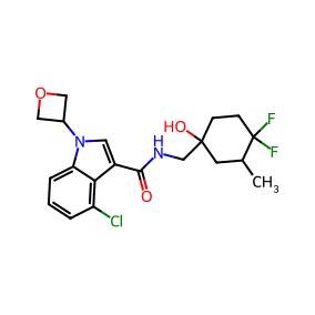 CC1CC(O)(CNC(=O)c2cn(C3COC3)c3cccc(Cl)c23)CCC1(F)F